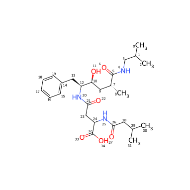 CC(C)CNC(=O)[C@H](C)C[C@H](O)[C@H](Cc1ccccc1)NC(=O)CC(NC(=O)CC(C)C)C(=O)O